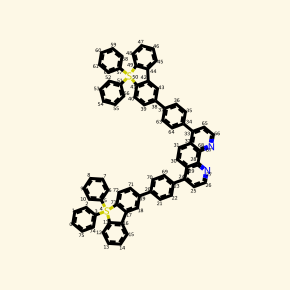 c1ccc(S2(c3ccccc3)c3ccccc3-c3cc(-c4ccc(-c5ccnc6c5ccc5c(-c7ccc(-c8ccc9c(c8)-c8ccccc8S9(c8ccccc8)c8ccccc8)cc7)ccnc56)cc4)ccc32)cc1